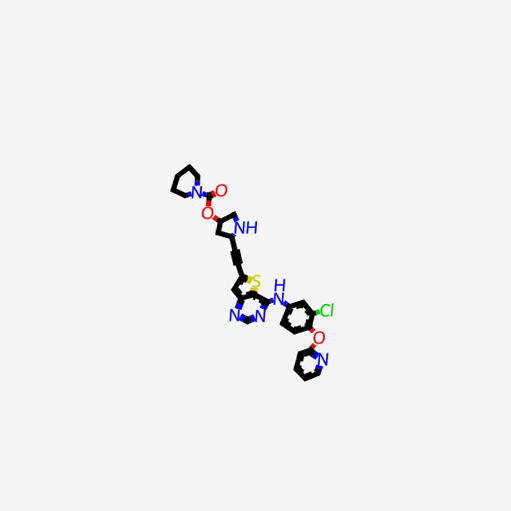 O=C(OC1CNC(C#Cc2cc3ncnc(Nc4ccc(Oc5ccccn5)c(Cl)c4)c3s2)C1)N1CCCCC1